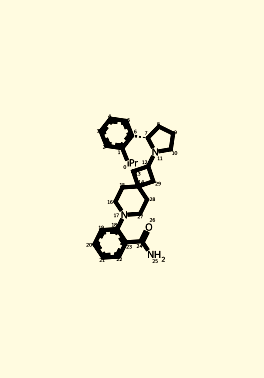 CC(C)c1ccccc1[C@@H]1CCCN1C1CC2(CCN(c3ccccc3C(N)=O)CC2)C1